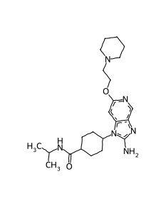 CC(C)NC(=O)C1CCC(n2c(N)nc3cnc(OCCN4CCCCC4)cc32)CC1